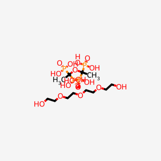 CC(OC(C)(P(=O)(O)O)P(=O)(O)O)(P(=O)(O)O)P(=O)(O)O.OCCOCCOCCOCCO